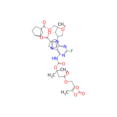 Cc1oc(=O)oc1COC(=O)CC(C)(C)OC(=O)Nc1nc(F)nc2c1ncn2C1CO[C@](C)(COC(=O)C23CCC(CC2)C3)[C@H]1OC(=O)C12CCC(CC1)C2